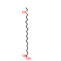 CC[S+]([O-])CCCCCCCCCCCCCCCCCC(=O)O